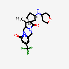 CC1C2Cn3c(cc(C(F)(F)F)cc3=O)CN2C(=O)[C@]12CC[C@@H](NC1CCOCC1)C2